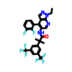 CCn1ncc2c(-c3cccc(F)c3F)c(NC(=O)C(C)(C)c3cc(C(F)(F)F)cc(C(F)(F)F)c3)cnc21